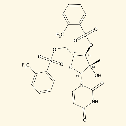 C[C@]1(O)[C@H](OS(=O)(=O)c2ccccc2C(F)(F)F)[C@@H](COS(=O)(=O)c2ccccc2C(F)(F)F)O[C@H]1n1ccc(=O)[nH]c1=O